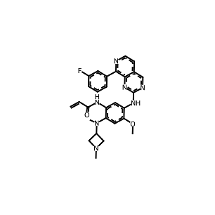 C=CC(=O)Nc1cc(Nc2ncc3ccnc(-c4cccc(F)c4)c3n2)c(OC)cc1N(C)C1CN(C)C1